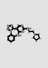 c1ccc2c(c1)Nc1nc(NCCN3CCCC3)ncc1-c1nnnn1-2